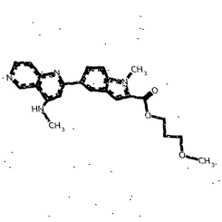 CNc1cc(-c2ccc3c(c2)cc(C(=O)OCCCOC)n3C)nc2ccncc12